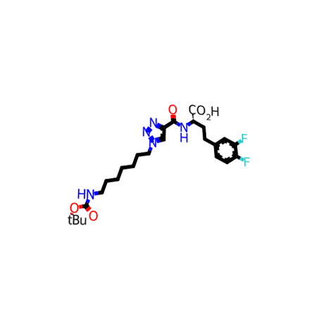 CC(C)(C)OC(=O)NCCCCCCCn1cc(C(=O)N[C@@H](CCc2ccc(F)c(F)c2)C(=O)O)nn1